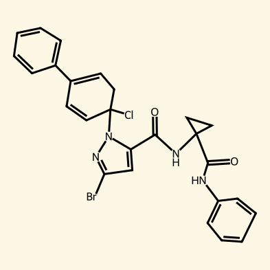 O=C(NC1(C(=O)Nc2ccccc2)CC1)c1cc(Br)nn1C1(Cl)C=CC(c2ccccc2)=CC1